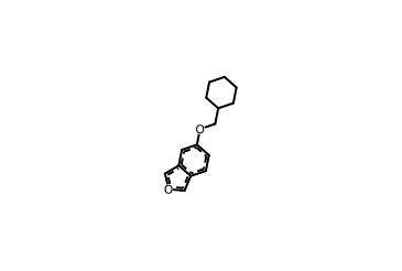 c1cc2cocc2cc1OCC1CCCCC1